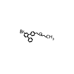 CCCCOCCc1ccc(-c2cc(Br)ccc2-c2ccccc2)cc1